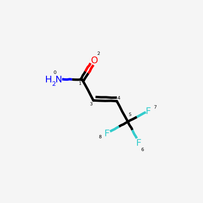 NC(=O)C=CC(F)(F)F